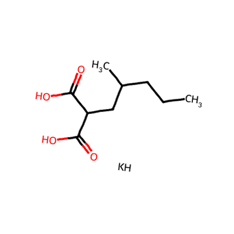 CCCC(C)CC(C(=O)O)C(=O)O.[KH]